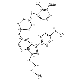 COc1cccc(CN2CCN(Cc3ccc4c(c3)c(-c3ccc(OC(F)(F)F)cc3)cn4CCCN)CC2)c1Cl